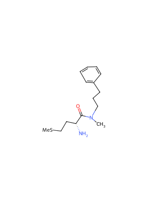 CSCC[C@@H](N)C(=O)N(C)CCCc1ccccc1